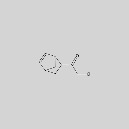 O=C(CCl)C1CC2C=CC1C2